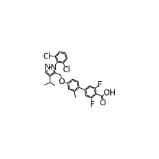 Cc1cc(OCc2c(C(C)C)cnn2-c2c(Cl)cccc2Cl)ccc1-c1cc(F)c(C(=O)O)c(F)c1